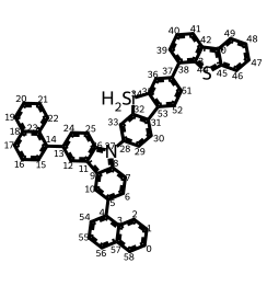 c1ccc2c(-c3ccc4c(c3)c3cc(-c5cccc6ccccc56)ccc3n4-c3ccc4c(c3)[SiH2]c3cc(-c5cccc6c5sc5ccccc56)ccc3-4)cccc2c1